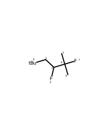 CC(C)(C)CC(F)C(C)(C)F